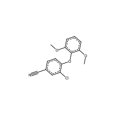 COc1cccc(OC)c1Oc1ccc(C#N)cc1Cl